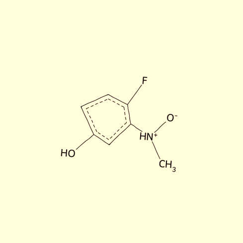 C[NH+]([O-])c1cc(O)ccc1F